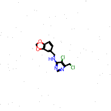 ClCc1ncnc(NCc2ccc3c(c2)OCO3)c1Cl